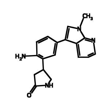 Cn1cc(-c2ccc(N)c(C3CNC(=O)C3)c2)c2cccnc21